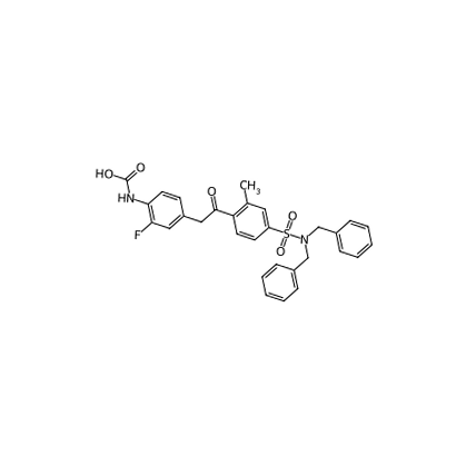 Cc1cc(S(=O)(=O)N(Cc2ccccc2)Cc2ccccc2)ccc1C(=O)Cc1ccc(NC(=O)O)c(F)c1